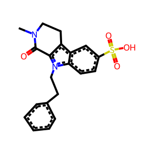 CN1CCc2c(n(CCc3ccccc3)c3ccc(S(=O)(=O)O)cc23)C1=O